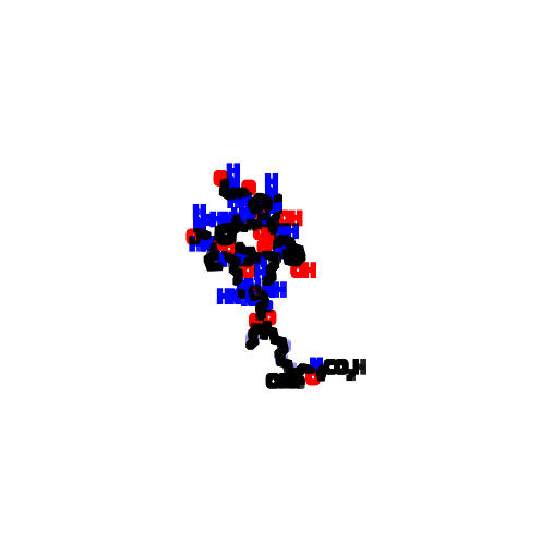 C/C=C/[C@H](OC(=O)CCC(=O)NCCCC[C@H](NC(=O)[C@H](Cc1ccc(O)cc1)NC(=O)[C@H](CO)NC(=O)[C@H](Cc1c[nH]c2ccccc12)NC(=O)[C@H](Cc1cnc[nH]1)NC(=O)[C@@H]1CCC(=O)N1)C(=O)N[C@H]1CC(C)N([C@@H](CCCNC(=N)N)C(=O)N2CCC[C@H]2C(=O)NCC(N)=O)C1=O)C(C)(C)CC\C=C/C=C\C=C\[C@@H](Cc1nc(C(=O)O)co1)OC